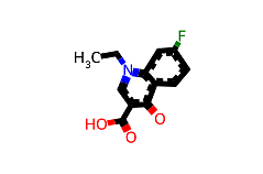 CCn1cc(C(=O)O)c(=O)c2ccc(F)cc21